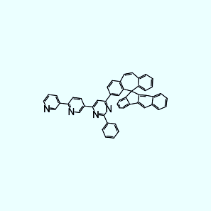 C1=Cc2ccc(-c3cc(-c4ccc(-c5cccnc5)nc4)nc(-c4ccccc4)n3)cc2C2(c3ccccc31)c1ccccc1-c1cc3ccccc3cc12